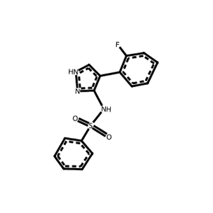 O=S(=O)(Nc1n[nH]cc1-c1ccccc1F)c1ccccc1